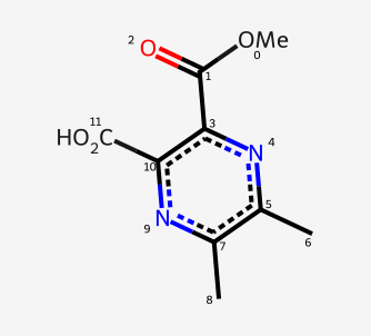 COC(=O)c1nc(C)c(C)nc1C(=O)O